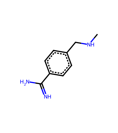 CNCc1ccc(C(=N)N)cc1